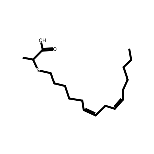 CCCCC/C=C\C/C=C\CCCCCSC(C)C(=O)O